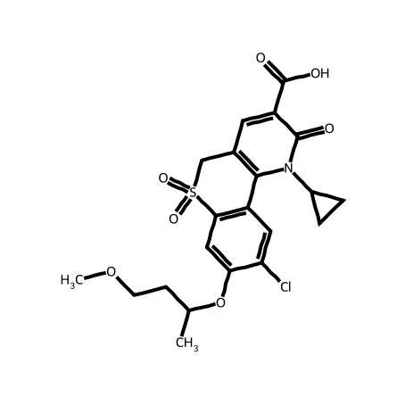 COCCC(C)Oc1cc2c(cc1Cl)-c1c(cc(C(=O)O)c(=O)n1C1CC1)CS2(=O)=O